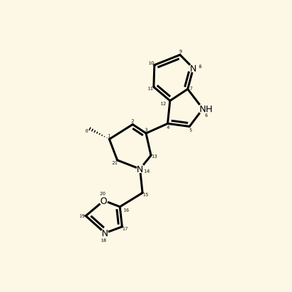 C[C@@H]1C=C(c2c[nH]c3ncccc23)CN(Cc2cnco2)C1